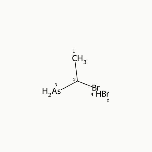 Br.CC([AsH2])Br